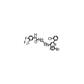 O=C(NCCCCNc1cc(-c2ccccc2Cl)nc2c(Br)cnn12)Nc1ccc(F)c(C(F)(F)F)c1